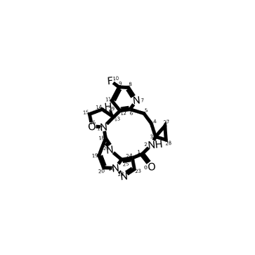 O=C1NC2(CCc3ncc(F)cc3[C@H]3CCON3c3ccn4ncc1c4n3)CC2